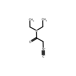 [C-]#[N+]CC(=O)N(CC)CC